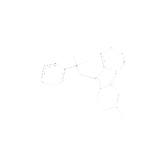 CN1CCc2c(c3cnccc3n2CC(C)(O)c2ccncc2)C1